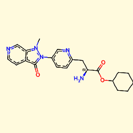 Cn1c2cnccc2c(=O)n1-c1ccc(C[C@H](N)C(=O)OC2CCCCC2)nc1